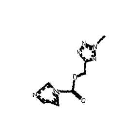 Cn1nnc(COC(=O)n2ccnc2)n1